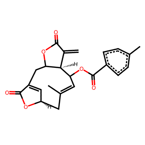 C=C1C(=O)OC2CC3=C[C@@H](C/C(C)=C/C(OC(=O)c4ccc(C)cc4)[C@H]12)OC3=O